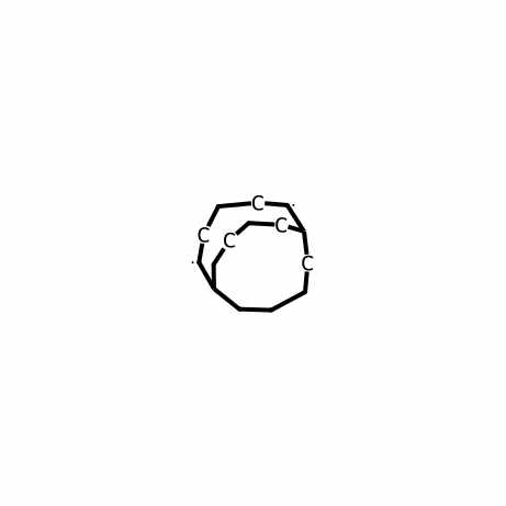 [CH]1CCC[CH]C2CCCCC1CCCC2